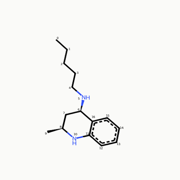 CCCCCN[C@@H]1C[C@H](C)Nc2ccccc21